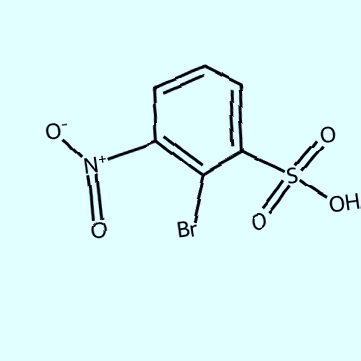 O=[N+]([O-])c1cccc(S(=O)(=O)O)c1Br